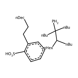 CCCCCCC(CCCC)C(P)(CCCC)CCCC.CCCCCCCCCCCCc1ccccc1S(=O)(=O)O